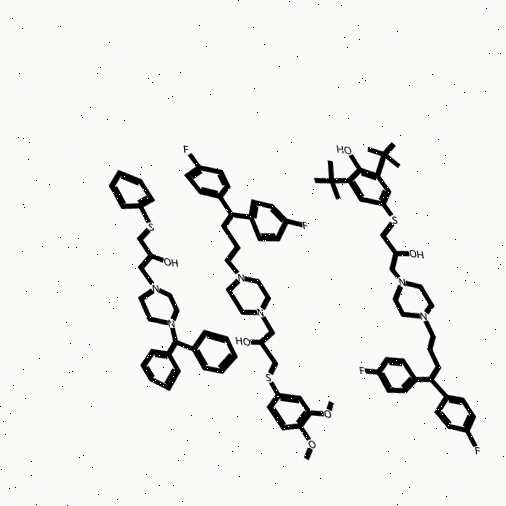 CC(C)(C)c1cc(SCC(O)CN2CCN(CCCC(c3ccc(F)cc3)c3ccc(F)cc3)CC2)cc(C(C)(C)C)c1O.COc1ccc(SCC(O)CN2CCN(CCCC(c3ccc(F)cc3)c3ccc(F)cc3)CC2)cc1OC.OC(CSc1ccccc1)CN1CCN(C(c2ccccc2)c2ccccc2)CC1